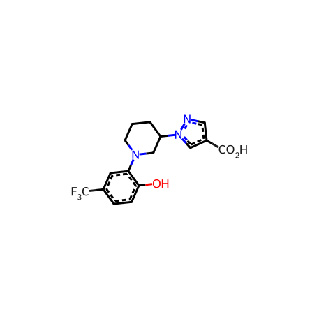 O=C(O)c1cnn(C2CCCN(c3cc(C(F)(F)F)ccc3O)C2)c1